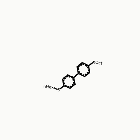 CCCCCCCCc1ccc(-c2ccc(SCCCCCC)cc2)cc1